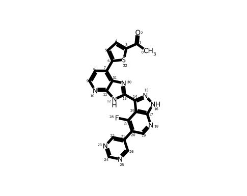 CC(=O)c1ccc(-c2ccnc3[nH]c(-c4n[nH]c5ncc(-c6cncnc6)c(F)c45)nc23)s1